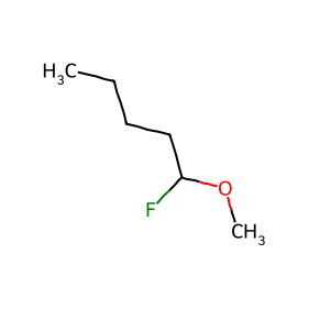 CCCCC(F)OC